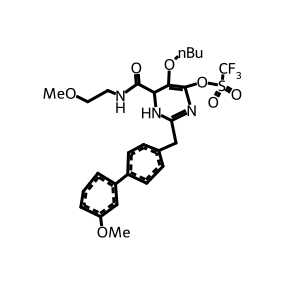 CCCCOC1=C(OS(=O)(=O)C(F)(F)F)N=C(Cc2ccc(-c3cccc(OC)c3)cc2)NC1C(=O)NCCOC